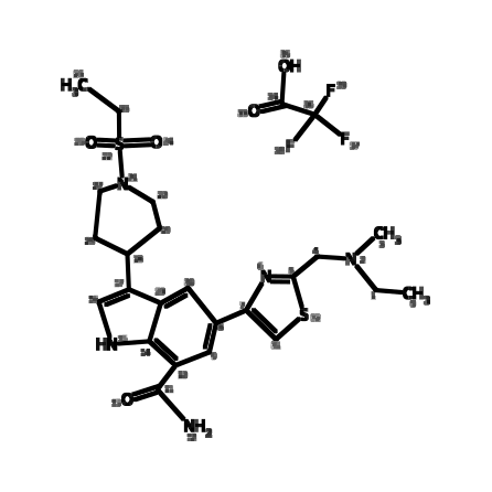 CCN(C)Cc1nc(-c2cc(C(N)=O)c3[nH]cc(C4CCN(S(=O)(=O)CC)CC4)c3c2)cs1.O=C(O)C(F)(F)F